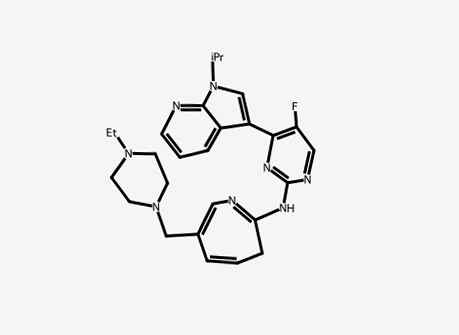 CCN1CCN(CC2=CN=C(Nc3ncc(F)c(-c4cn(C(C)C)c5ncccc45)n3)CC=C2)CC1